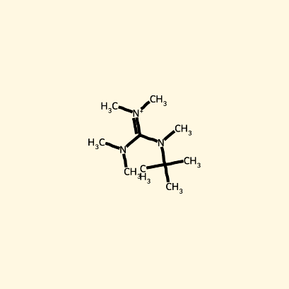 CN(C)C(N(C)C(C)(C)C)=[N+](C)C